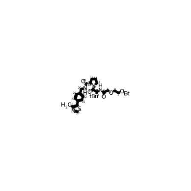 CCOCCOCC(=O)NC(C(=O)N1CCC[C@H]1C(=O)NCc1ccc(-c2scnc2C)cc1)C(C)(C)C